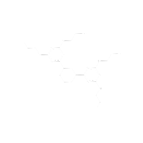 OCCNc1nc(NCCO)nc(C2CCCC(c3nc(NCCO)nc(NCCO)n3)C2)n1